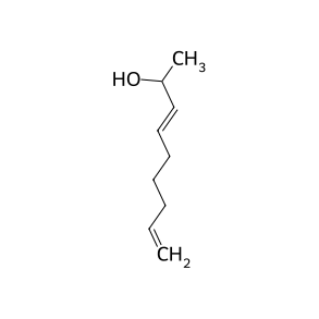 C=CCCCC=CC(C)O